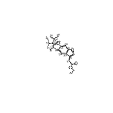 CCOC(=O)Cc1coc2cc(O[Si](C(C)C)(C(C)C)C(C)C)ccc12